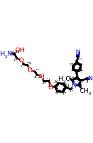 Cc1c(C#N)c(-c2ccc(C#N)cc2)c(C)n1Cc1ccc(OCCOCCOCCOCC(N)O)cc1